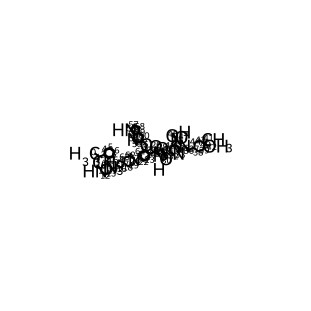 CC(C)c1ccccc1[C@@H]1CNCCN1C1CC2(CCN(c3ccc(C(=O)NS(=O)(=O)c4cnc(NCC5CCC(C)(O)CC5)c([N+](=O)[O-])c4)c(Oc4cnc5[nH]ccc5c4)c3)CC2)C1